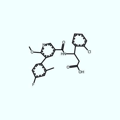 COc1ncc(C(=O)NC(CC(=O)O)c2ccccc2Cl)cc1-c1ccc(F)cc1C